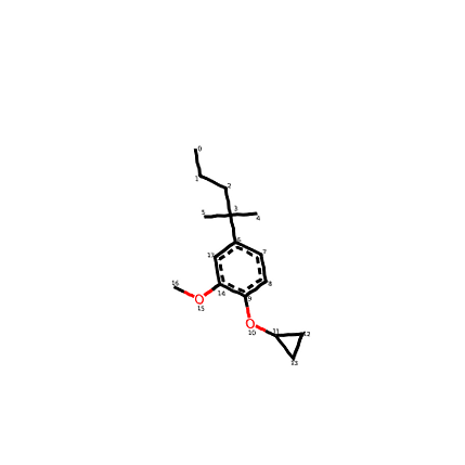 CCCC(C)(C)c1ccc(OC2CC2)c(OC)c1